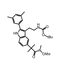 CON(C)C(=O)C(C)(C)c1ccc2[nH]c(-c3cc(C)cc(C)c3)c(CCNC(=O)OC(C)(C)C)c2c1